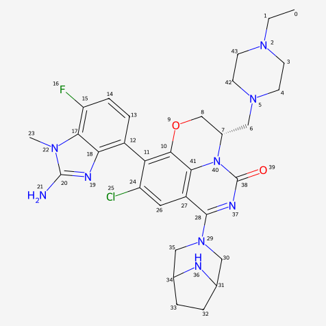 CCN1CCN(C[C@H]2COc3c(-c4ccc(F)c5c4nc(N)n5C)c(Cl)cc4c(N5CC6CCC(C5)N6)nc(=O)n2c34)CC1